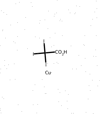 O=C(O)C(I)(I)I.[Cu]